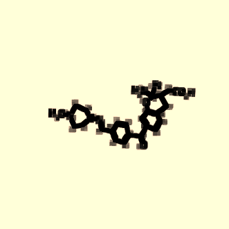 CCC1(N)Oc2cc(C(=O)c3ccc(C=NN4CCN(C)CC4)cc3)ccc2CC1CC(=O)O